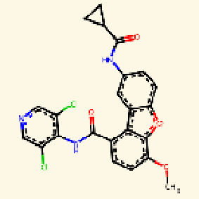 COc1ccc(C(=O)Nc2c(Cl)cncc2Cl)c2c1oc1ccc(NC(=O)C3CC3)cc12